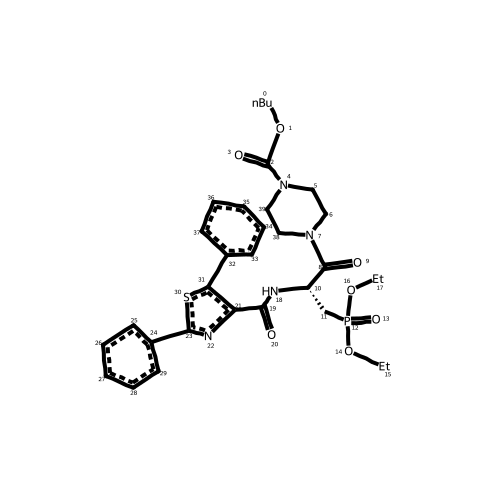 CCCCOC(=O)N1CCN(C(=O)[C@H](CP(=O)(OCC)OCC)NC(=O)c2nc(-c3ccccc3)sc2-c2ccccc2)CC1